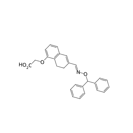 O=C(O)COc1cccc2c1CCC(C=NOC(c1ccccc1)c1ccccc1)=C2